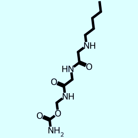 CCCCCNCC(=O)NCC(=O)NCOC(N)=O